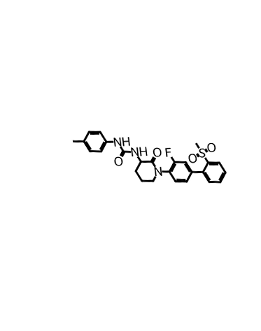 Cc1ccc(NC(=O)NC2CCCN(c3ccc(-c4ccccc4S(C)(=O)=O)cc3F)C2=O)cc1